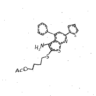 CC(=O)OCCCCSc1sc2nc(-c3cccs3)cc(-c3ccccc3)c2c1N